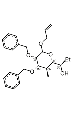 C=CCOC1O[C@H]([C@H](O)CC)[C@@H](C)[C@H](OCc2ccccc2)[C@@H]1OCc1ccccc1